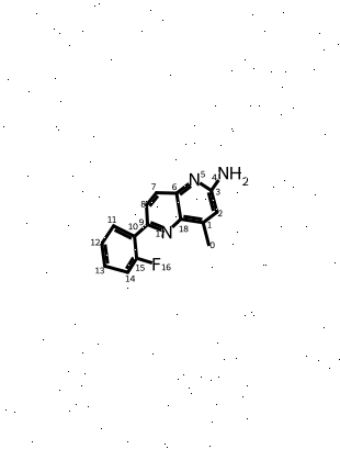 Cc1cc(N)nc2ccc(-c3ccccc3F)nc12